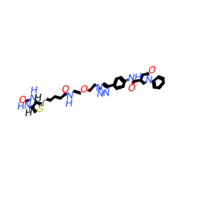 O=C(CCCC[C@@H]1SC[C@@H]2NC(=O)N[C@@H]21)NCCOCCn1cc(-c2ccc(NC(=O)C3CC(=O)N(c4ccccc4)C3)cc2)nn1